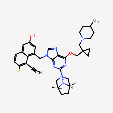 C#Cc1c(F)ccc2cc(O)cc(Cn3cnc4c(OCC5(CN6CCC(C(F)(F)F)CC6)CC5)nc(N5C[C@H]6CC[C@@H](C5)N6)nc43)c12